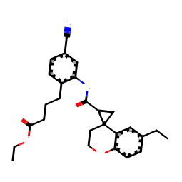 CCOC(=O)CCCc1ccc(C#N)cc1NC(=O)C1CC12CCOc1ccc(CC)cc12